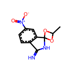 CC1OC2(NC(=N)c3ccc([N+](=O)[O-])cc32)O1